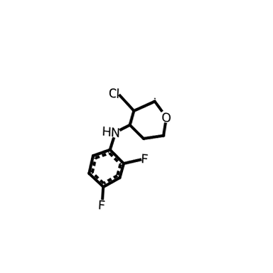 Fc1ccc(NC2CCO[CH]C2Cl)c(F)c1